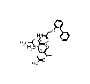 CC(C)C[C@H](NC(=O)COc1ccccc1-c1ccccc1)C(=O)N[C@@H](CC(=O)O)C(=O)CF